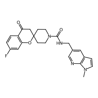 Cn1ccc2cc(CNC(=O)N3CCC4(CC3)CC(=O)c3ccc(F)cc3O4)cnc21